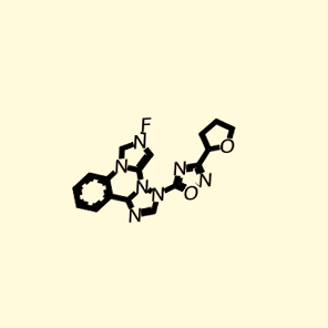 FN1C=C2N(C1)c1ccccc1C1N=CN(c3nc(C4CCCO4)no3)N21